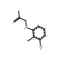 C=C(C)COc1cccc(Cl)c1C